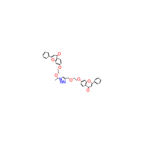 CC(OCCOc1ccc2c(=O)cc(-c3ccccc3)oc2c1)n1cc(COCCOc2ccc3c(=O)cc(-c4ccccc4)oc3c2)nn1